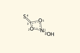 On1oc(=S)o1